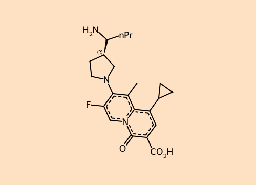 CCCC(N)[C@@H]1CCN(c2c(F)cn3c(=O)c(C(=O)O)cc(C4CC4)c3c2C)C1